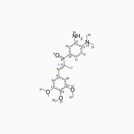 COc1cc(/C=C(\C)C(=O)c2ccc(N(C)C)c(N)c2)cc(OC)c1OC